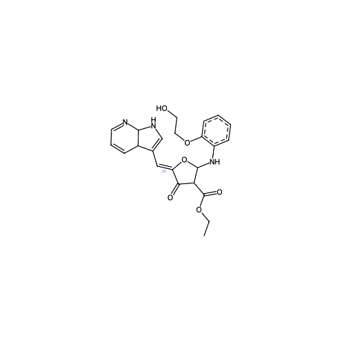 CCOC(=O)C1C(=O)/C(=C/C2=CNC3N=CC=CC23)OC1Nc1ccccc1OCCO